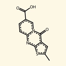 Cc1cc2c(=O)n3cc(C(=O)O)ccc3nc2s1